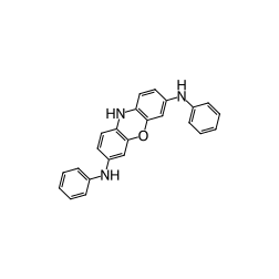 c1ccc(Nc2ccc3c(c2)Oc2cc(Nc4ccccc4)ccc2N3)cc1